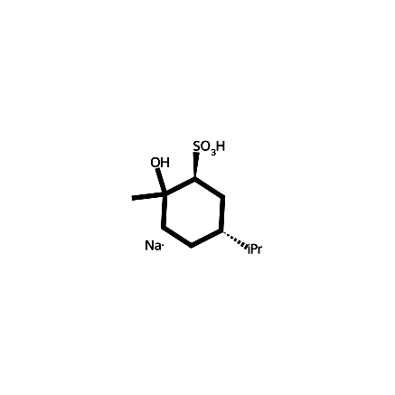 CC(C)[C@@H]1CCC(C)(O)[C@@H](S(=O)(=O)O)C1.[Na]